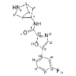 O=C(NC1CC2CC1CN2)c1ncc(-c2cccc(F)c2)o1